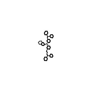 C(/C=C/c1cccc(N(c2cccc(C=C(c3ccccc3)c3ccccc3)c2)c2ccc3c(c2)CCCC3)c1)=C(c1ccccc1)c1ccccc1